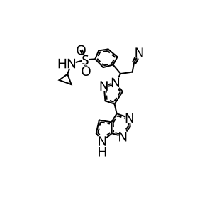 N#CCC(c1cccc(S(=O)(=O)NC2CC2)c1)n1cc(-c2ncnc3[nH]ccc23)cn1